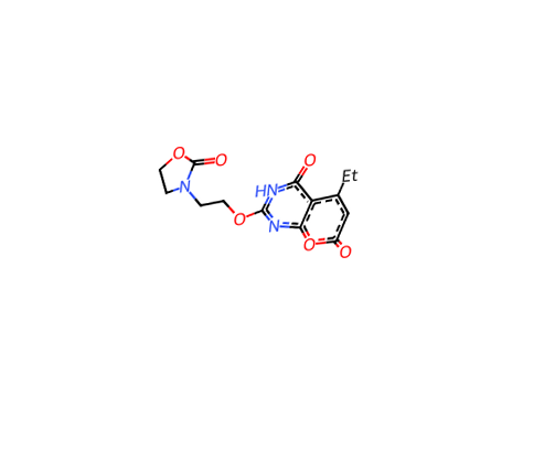 CCc1cc(=O)oc2nc(OCCN3CCOC3=O)[nH]c(=O)c12